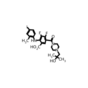 Cc1cc(I)ccc1Nc1c(C(=O)O)cc(C(=O)N2CCN(CC(C)(C)O)CC2)c(F)c1F